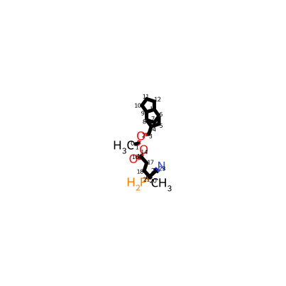 CC(OCC1CC2CC1C1CCCC21)OC(=O)CCC(C)(P)C#N